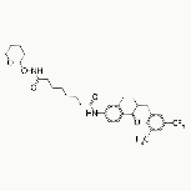 O=C(CCCCCCC(=O)Nc1ccc2c(c1)CCC(Cc1cc(C(F)(F)F)cc(C(F)(F)F)c1)C2=O)NOC1CCCCO1